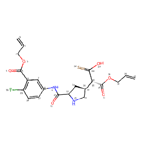 C=CCOC(=O)c1cc(NC(=O)C2C[C@@H]([C@@H](C(=O)OCC=C)C(O)=S)CN2)ccc1F